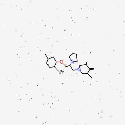 C=C1C(C)CN(CC(COC2CC(C)CCC2C(C)C)N2CCCC2)CC1C